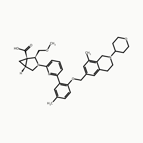 COC[C@H]1N(c2cccc(-c3cc(C)ccc3OCc3cc(C)c4c(c3)CCN(C3CCOCC3)C4)n2)C[C@@H]2C[C@@]21C(=O)O